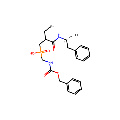 CC(C)CC(CP(=O)(O)CNC(=O)OCc1ccccc1)C(=O)N[C@@H](Cc1ccccc1)C(=O)O